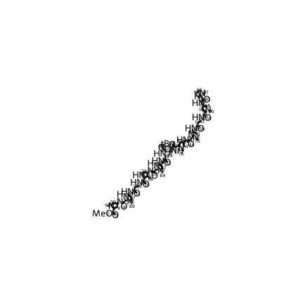 COC(=O)c1cc(NC(=O)c2nc(NC(=O)CCNC(=O)c3[nH]cc(NC(=O)c4nc(NC(=O)[C@@H](CCNC(=O)c5cc(NC(=O)c6nc(NC(=O)CCNC(=O)c7cc(NC(=O)c8nccn8C)cn7C)cn6C)cn5C)NC(=O)OC(C)(C)C)cn4C)c3C)cn2C)cn1C